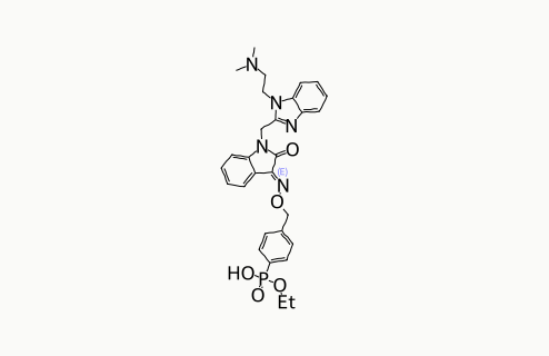 CCOP(=O)(O)c1ccc(CO/N=C2/C(=O)N(Cc3nc4ccccc4n3CCN(C)C)c3ccccc32)cc1